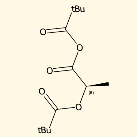 C[C@@H](OC(=O)C(C)(C)C)C(=O)OC(=O)C(C)(C)C